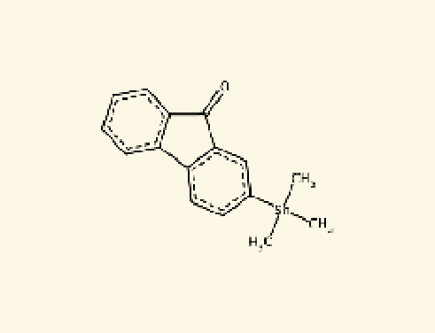 [CH3][Sn]([CH3])([CH3])[c]1ccc2c(c1)C(=O)c1ccccc1-2